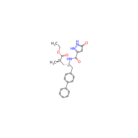 CCOC(=O)[C@H](C)C[C@@H](Cc1ccc(-c2ccccc2)cc1)NC(=O)c1cc(=O)[nH][nH]1